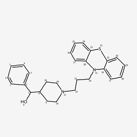 OC(c1ccccc1)C1CCN(CCCN2c3ccccc3Sc3ccccc32)CC1